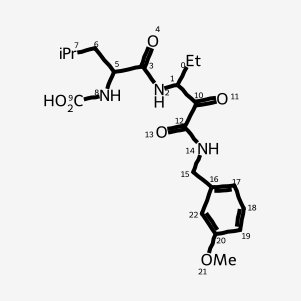 CCC(NC(=O)C(CC(C)C)NC(=O)O)C(=O)C(=O)NCc1cccc(OC)c1